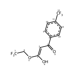 O=C(/C=C(\O)OCC(F)(F)F)c1ccc(C(F)(F)F)cc1